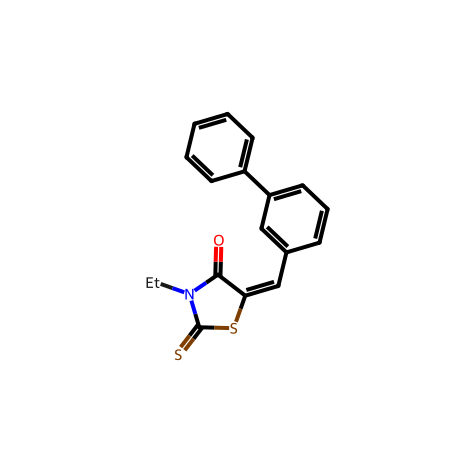 CCN1C(=O)/C(=C\c2cccc(-c3ccccc3)c2)SC1=S